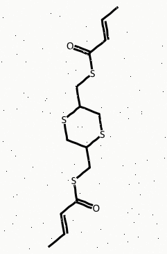 CC=CC(=O)SCC1CSC(CSC(=O)C=CC)CS1